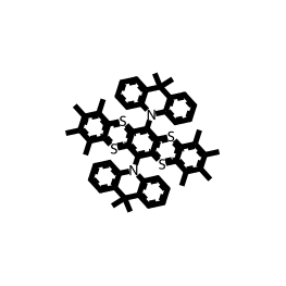 Cc1c(C)c(C)c2sc3c(N4c5ccccc5C(C)(C)c5ccccc54)c4sc5c(C)c(C)c(C)c(C)c5sc4c(N4c5ccccc5C(C)(C)c5ccccc54)c3sc2c1C